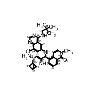 Cn1ccc2c(C(Nc3cc(Cl)c4ncnc(NCC(C)(C)C)c4c3)/C(N)=C/N(N)C34CC(C3)C4)cccc2c1=O